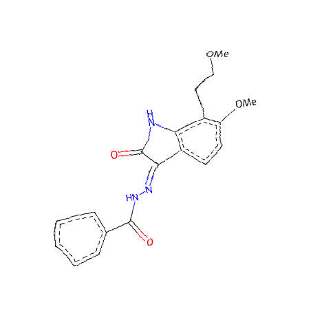 COCCc1c(OC)ccc2c1NC(=O)/C2=N\NC(=O)c1ccccc1